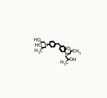 CC(O)CN(CCO)c1ccc(Cc2ccc(N(CC(C)O)CC(C)O)cc2)cc1